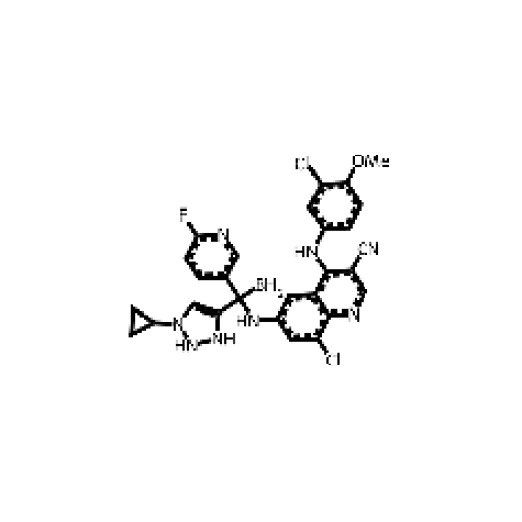 BC(Nc1cc(Cl)c2ncc(C#N)c(Nc3ccc(OC)c(Cl)c3)c2c1)(C1=CN(C2CC2)NN1)c1ccc(F)nc1